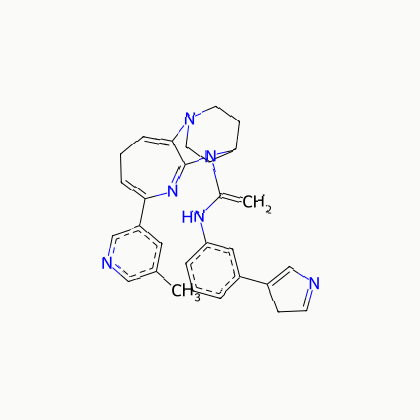 C=C(Nc1cccc(C2=CN=CC2)c1)N1C2=NC(c3cncc(C)c3)=CCC=C2N2CCC1CC2